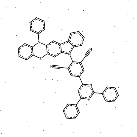 N#Cc1cc(-c2nc(-c3ccccc3)nc(-c3ccccc3)n2)cc(C#N)c1-n1c2ccccc2c2cc3c(cc21)Sc1ccccc1N3c1ccccc1